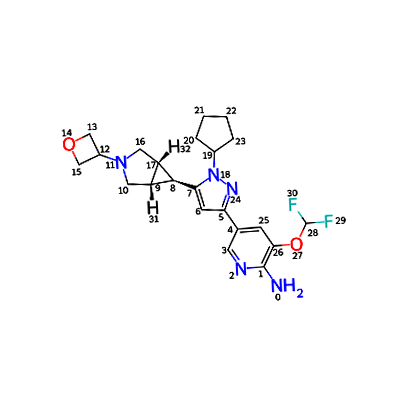 Nc1ncc(-c2cc([C@H]3[C@@H]4CN(C5COC5)C[C@@H]43)n(C3CCCC3)n2)cc1OC(F)F